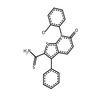 NC(=S)c1sc2c(ccc(=O)n2-c2ccccc2Cl)c1-c1ccccc1